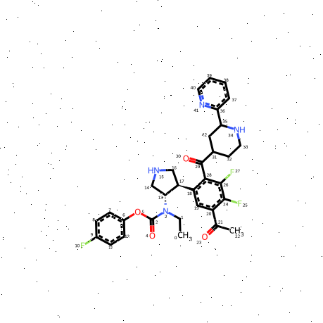 CCN(C(=O)Oc1ccc(F)cc1)[C@@H]1CNC[C@H]1c1cc(C(C)=O)c(F)c(F)c1C(=O)C1CCNC(c2ccccn2)C1